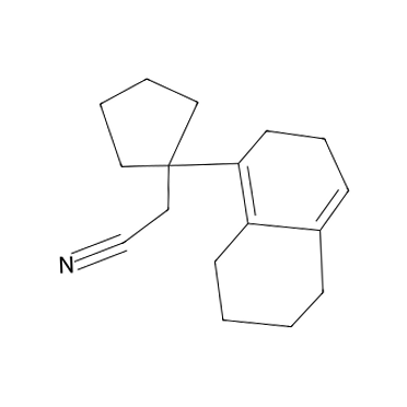 N#CCC1(C2=C3CCCCC3=CCC2)CCCC1